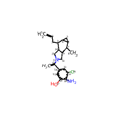 C=CCC1C2CC2C(C)C2CN(C(=C)c3cc(O)c(N)c(Cl)c3)CC21